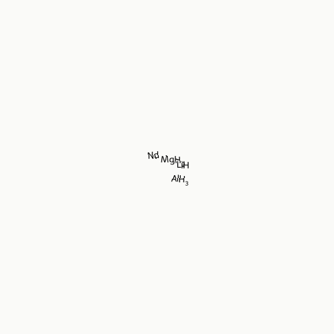 [AlH3].[LiH].[MgH2].[Nd]